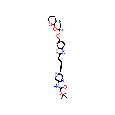 CN(C(=O)OC(C)(C)C)c1cnc(C#C/C=C/c2nc3ccc(OC[C@H](CF)OC4CCCCO4)cc3s2)cn1